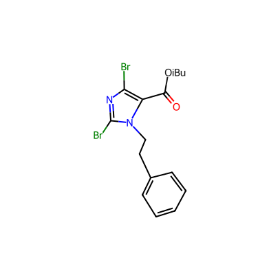 CC(C)COC(=O)c1c(Br)nc(Br)n1CCc1ccccc1